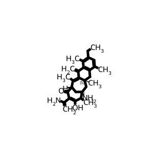 C=C(N)C1=C(O)C(C)[C@@]2(N)C[C@H](C1=O)C(C)=C1C(=C)c3c(C)c(CC)cc(C)c3C[C@@]1(C)C2